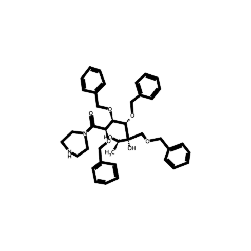 C[C@@H](O)[C@](O)(COCc1ccccc1)[C@@H](OCc1ccccc1)[C@H](OCc1ccccc1)[C@@H](OCc1ccccc1)C(=O)N1CCNCC1